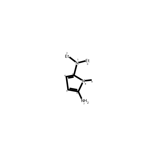 CCN(CC)c1ccc(N)n1C